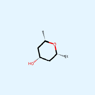 CC[C@@H]1C[C@H](O)C[C@H](C)O1